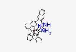 C=c1/c(=C\C)c2c(c3ccccc13)C1(C(CC)=C(/C=C\C)c3ccc(-c4cc5ccccc5cc4C(=N)/N=C(\N)c4ccccc4)cc31)c1ccccc1-2